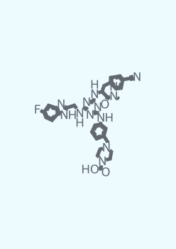 CNC(=O)C(Cc1ccc(C#N)cc1)Nc1nc(NCc2nc3cc(F)ccc3[nH]2)nc(Nc2cccc(CN3CCN(C(=O)O)CC3)c2)n1